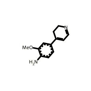 COc1cc(C2=CC=NCC2)ccc1N